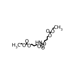 CCOC(=O)OCCCOP([NH])(=O)OCCCOC(=O)OCC